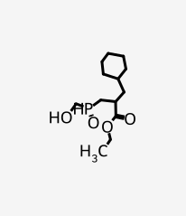 CCOC(=O)C(CC1CCCCC1)C[PH](=O)CO